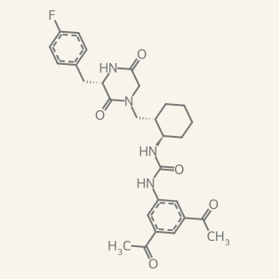 CC(=O)c1cc(NC(=O)N[C@@H]2CCCC[C@H]2CN2CC(=O)N[C@@H](Cc3ccc(F)cc3)C2=O)cc(C(C)=O)c1